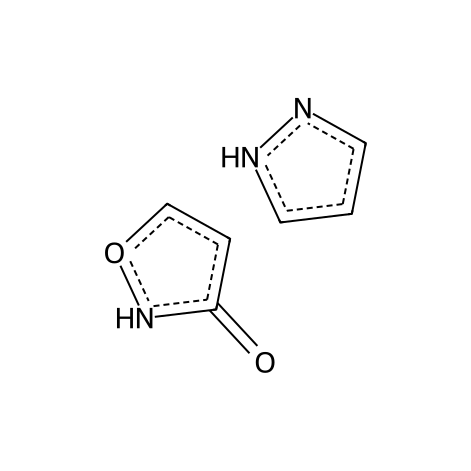 O=c1cco[nH]1.c1cn[nH]c1